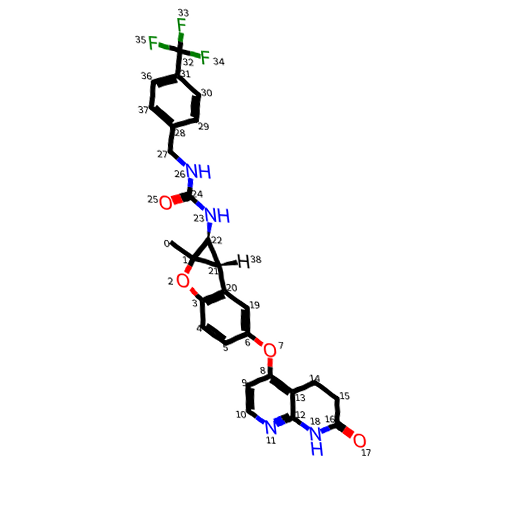 CC12Oc3ccc(Oc4ccnc5c4CCC(=O)N5)cc3[C@H]1[C@@H]2NC(=O)NCc1ccc(C(F)(F)F)cc1